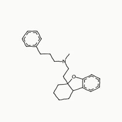 CN(CCCc1ccccc1)CCC12CCCCC1c1ccccc1O2